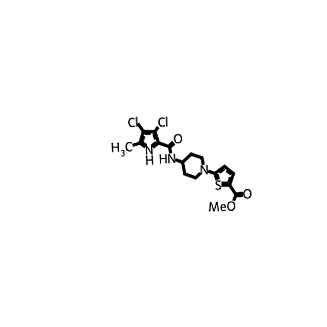 COC(=O)c1ccc(N2CCC(NC(=O)c3[nH]c(C)c(Cl)c3Cl)CC2)s1